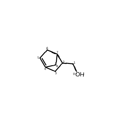 OCC1CC2=CCC1C2